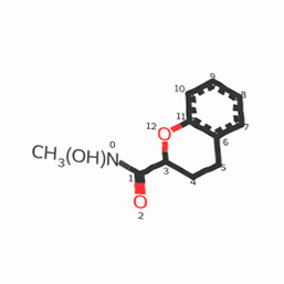 CN(O)C(=O)C1CCc2ccccc2O1